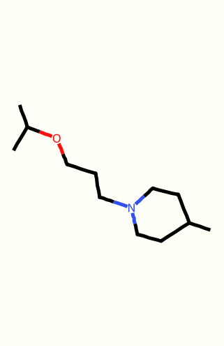 CC1CCN(CCCOC(C)C)CC1